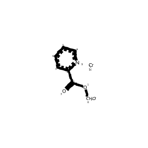 O=COC(=O)c1ccccn1.[Cr]